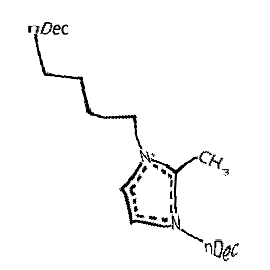 CCCCCCCCCCCCCC[n+]1ccn(CCCCCCCCCC)c1C